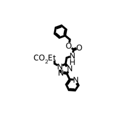 CCOC(=O)Cn1nc(-c2ccccn2)nc1CNC(=O)OCc1ccccc1